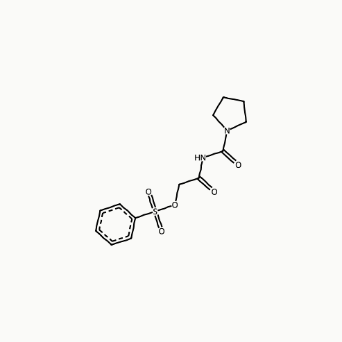 O=C(COS(=O)(=O)c1ccccc1)NC(=O)N1CCCC1